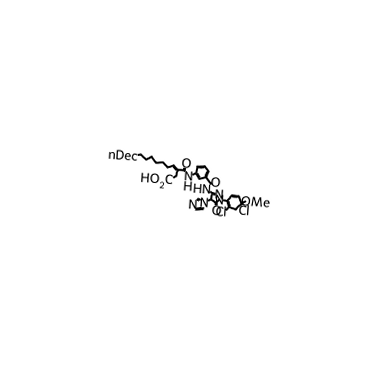 CCCCCCCCCCCCCCCCC=C(CC(=O)O)C(=O)Nc1cccc(C(=O)NC2=NN(C3=C(Cl)CC(Cl)(OC)C=C3)C(=O)C2n2ccnc2)c1